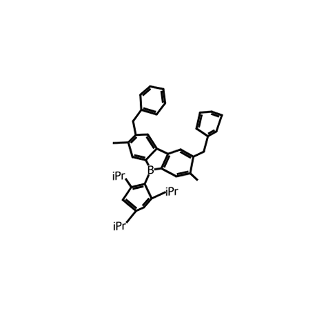 Cc1cc2c(cc1Cc1ccccc1)-c1cc(Cc3ccccc3)c(C)cc1B2c1c(C(C)C)cc(C(C)C)cc1C(C)C